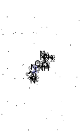 C=C/C(=C\C(=N/C)C(=O)Nc1cccc(-c2nncn2C2CC2)c1)n1ccnc1C